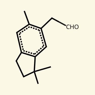 Cc1cc2c(cc1CC=O)C(C)(C)CC2